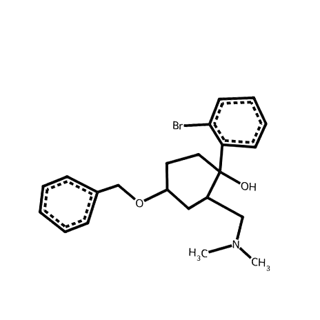 CN(C)CC1CC(OCc2ccccc2)CCC1(O)c1ccccc1Br